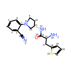 N#Cc1ccccc1N1CC[C@H](NC(=O)[C@@H](N)Cc2cccs2)C1